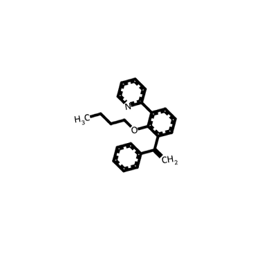 C=C(c1ccccc1)c1cccc(-c2ccccn2)c1OCCCC